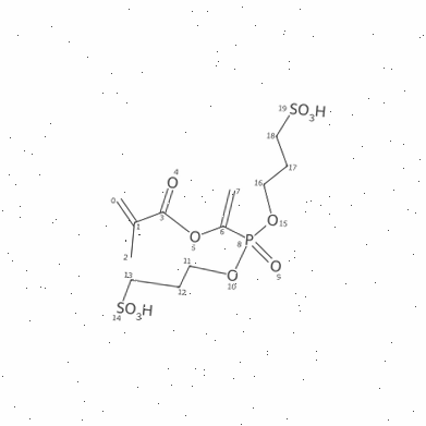 C=C(C)C(=O)OC(=C)P(=O)(OCCCS(=O)(=O)O)OCCCS(=O)(=O)O